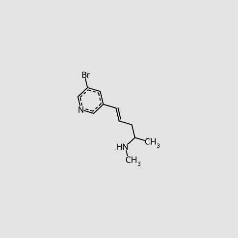 CNC(C)C/C=C/c1cncc(Br)c1